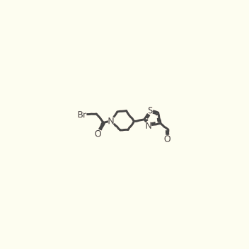 O=Cc1csc(C2CCN(C(=O)CBr)CC2)n1